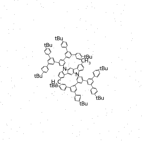 Cc1ccc2c(c1)c1cc3c(cc1n2-c1cc(-c2cc(-c4ccc(C(C)(C)C)cc4)cc(-c4ccc(C(C)(C)C)cc4)c2)cc(-c2cc(-c4ccc(C(C)(C)C)cc4)cc(-c4ccc(C(C)(C)C)cc4)c2)c1)c1cc(C)ccc1n3-c1cc(-c2cc(-c3ccc(C(C)(C)C)cc3)cc(-c3ccc(C(C)(C)C)cc3)c2)cc(-c2cc(-c3ccc(C(C)(C)C)cc3)cc(-c3ccc(C(C)(C)C)cc3)c2)c1